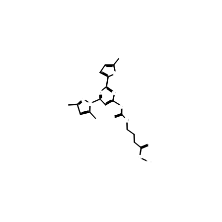 Cc1cc(C)n(-c2cc(NC(=O)NCCCC(=O)NO)nc(-c3ccc(C)o3)n2)n1